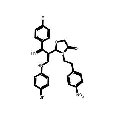 N=C(/C(=C\Nc1ccc(Br)cc1)C1OCC(=O)N1CCc1ccc([N+](=O)[O-])cc1)c1ccc(F)cc1